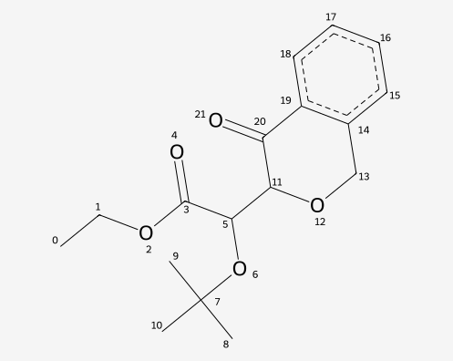 CCOC(=O)C(OC(C)(C)C)C1OCc2ccccc2C1=O